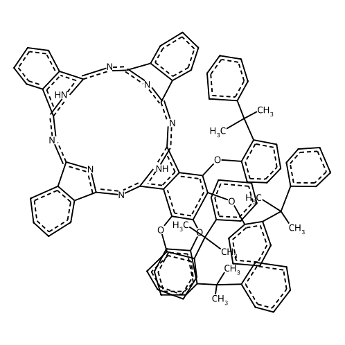 CC(C)(c1ccccc1)c1ccccc1Oc1c(Oc2ccccc2C(C)(C)c2ccccc2)c(Oc2ccccc2C(C)(C)c2ccccc2)c2c3nc4nc(nc5[nH]c(nc6nc(nc([nH]3)c2c1Oc1ccccc1C(C)(C)c1ccccc1)-c1ccccc1-6)c1ccccc51)-c1ccccc1-4